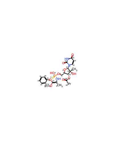 CC(N[P@@](O)(=S)OC[C@H]1O[C@@H](n2ccc(=O)[nH]c2=O)[C@](C)(O)[C@@H]1OC(=O)C(C)C)=C(Oc1ccccc1)OC(C)C